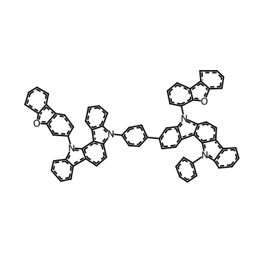 c1ccc(-n2c3ccccc3c3ccc4c(c5ccc(-c6ccc(-n7c8ccccc8c8c7ccc7c9ccccc9n(-c9ccc%10c(c9)oc9ccccc9%10)c78)cc6)cc5n4-c4cccc5c4oc4ccccc45)c32)cc1